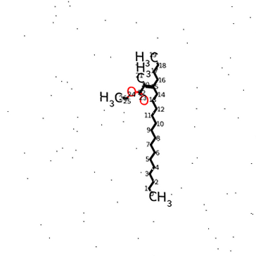 CCCCCCCCCCCCCCCC(CCCC)=C(C)C(=O)OCC